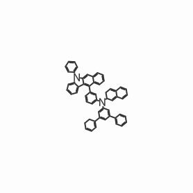 C1=CCCC(c2cc(-c3ccccc3)cc(N(c3cccc(-c4c5ccccc5cc5c4c4ccccc4n5-c4ccccc4)c3)C3C=c4ccccc4=CC3)c2)=C1